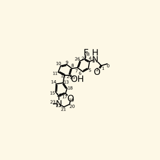 CC(=O)Nc1ccc(-c2cccc(-c3ccc4c(c3)OCCN4C)c2O)cc1F